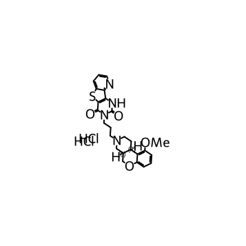 COc1cccc2c1[C@@H]1CCN(CCCn3c(=O)[nH]c4c(sc5cccnc54)c3=O)C[C@H]1CO2.Cl.Cl